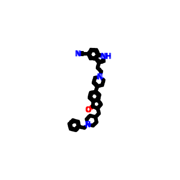 N#Cc1ccc2[nH]cc(CCN3CC=C(c4ccc5c(c4)CC(CC4CCN(Cc6ccccc6)CC4)C5=O)CC3)c2c1